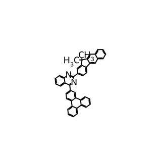 CC1(C)c2cc(-c3nc(-c4ccc5c6ccccc6c6ccccc6c5c4)c4ccccc4n3)ccc2-c2cc3ccccc3cc21